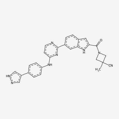 CC1(C#N)CN(C(=O)c2cc3ccc(-c4nccc(Nc5ccc(-c6cn[nH]c6)cc5)n4)cc3[nH]2)C1